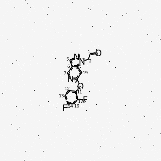 O=CCn1ncc2cnc(Oc3ccc(F)cc3F)cc21